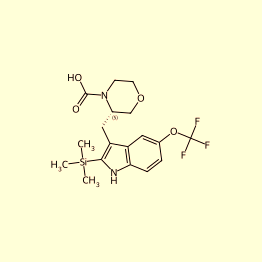 C[Si](C)(C)c1[nH]c2ccc(OC(F)(F)F)cc2c1C[C@H]1COCCN1C(=O)O